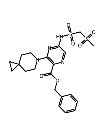 CS(=O)(=O)CS(=O)(=O)Nc1cnc(C(=O)OCc2ccccc2)c(N2CCC3(CC2)CC3)n1